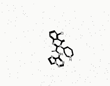 C=C1c2c(Cl)cccc2N=C([C@H](C)Nc2ncnn3ccnc23)N1C1CCCNCC1